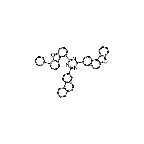 c1ccc(-c2cccc3c2oc2cccc(-c4nc(-c5ccc6c(ccc7ccccc76)c5)nc(-c5ccc6c(ccc7oc8ccccc8c76)c5)n4)c23)cc1